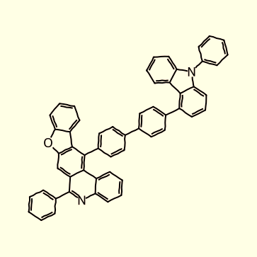 c1ccc(-c2nc3ccccc3c3c(-c4ccc(-c5ccc(-c6cccc7c6c6ccccc6n7-c6ccccc6)cc5)cc4)c4c(cc23)oc2ccccc24)cc1